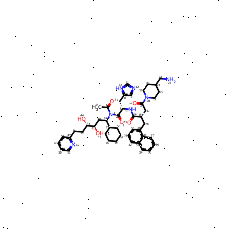 CC(=O)N(C(=O)[C@H](Cc1cnc[nH]1)NC(=O)[C@@H](CC(=O)N1CCC(CN)CC1)Cc1cccc2ccccc12)C(C[C@@H](O)[C@@H](O)CCc1ccccn1)C1CCCCC1